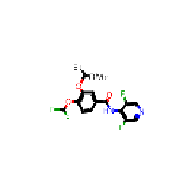 CCC(OC)Oc1cc(C(=O)Nc2c(F)cncc2F)ccc1OC(F)F